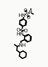 CC(CC1CCCCC1)NCc1ccccc1NS(=O)(=O)c1ccc(NS(=O)(=O)N(C)C)cc1